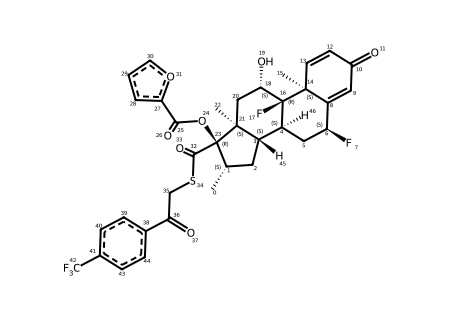 C[C@H]1C[C@H]2[C@@H]3C[C@H](F)C4=CC(=O)C=C[C@]4(C)[C@@]3(F)[C@@H](O)C[C@]2(C)[C@@]1(OC(=O)c1ccco1)C(=O)SCC(=O)c1ccc(C(F)(F)F)cc1